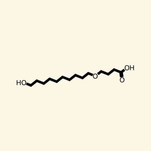 O=C(O)CCCOCCCCCCCCCCO